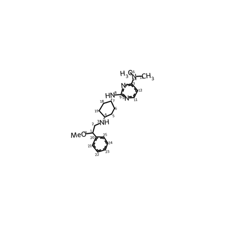 COC(CN[C@H]1CC[C@@H](Nc2nccc(N(C)C)n2)CC1)c1ccccc1